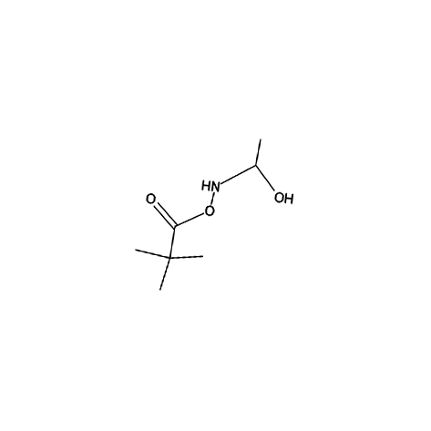 CC(O)NOC(=O)C(C)(C)C